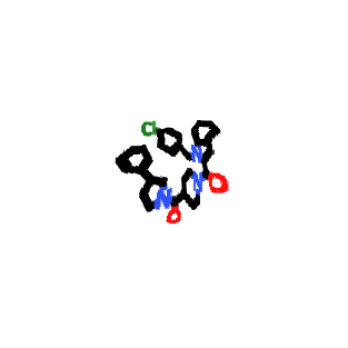 O=C(c1cc2ccccc2n1Cc1ccc(Cl)cc1)N1CCC(C(=O)N2CCC(c3ccccc3)C2)CC1